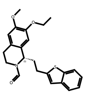 CCOc1cc2c(cc1OC)CCN(C=O)[C@H]2CCc1cc2ccccc2s1